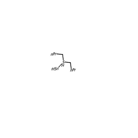 CCCC[SH]([SnH])CCCC